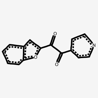 O=C(C(=O)c1cc2ccccc2o1)c1ccncc1